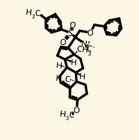 [C-]#[N+]C(COCc1ccccc1)(C1=CC[C@H]2[C@@H]3CC=C4C=C(OC)CC[C@]4(C)[C@H]3CC[C@]12C)S(=O)(=O)c1ccc(C)cc1